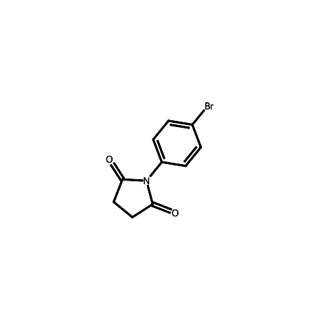 O=C1CCC(=O)N1c1ccc(Br)cc1